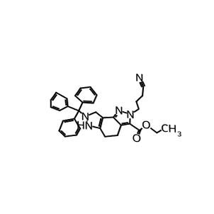 CCOC(=O)c1c2c(nn1CCCC#N)C1=C(CC2)NN(C(c2ccccc2)(c2ccccc2)c2ccccc2)C1